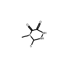 CN1C(=O)C(=O)NNC1[S]